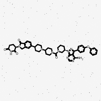 Nc1ncnc2c1c(-c1ccc(Oc3ccccc3)cc1)nn2[C@@H]1CCCN(C(=O)N2CCC(N3CCC(c4ccc5c(c4)CN(C4CCC(=O)NC4=O)C5=O)CC3)CC2)C1